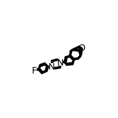 O=C1C2CCC1Cc1cc(N3CCN(c4ccc(F)cc4)CC3)ccc1C2